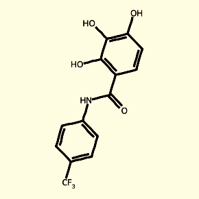 O=C(Nc1ccc(C(F)(F)F)cc1)c1ccc(O)c(O)c1O